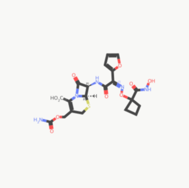 NC(=O)OCC1=C(C(=O)O)N2C(=O)[C@@H](NC(=O)/C(=N\OC3(C(=O)NO)CCC3)c3ccco3)[C@H]2SC1